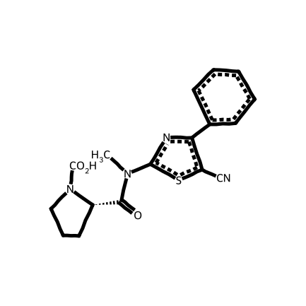 CN(C(=O)[C@@H]1CCCN1C(=O)O)c1nc(-c2ccccc2)c(C#N)s1